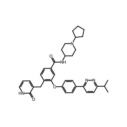 CC(C)c1ccc(-c2ccc(Oc3cc(C(=O)NC4CCN(C5CCCC5)CC4)ccc3Cc3ccc[nH]c3=O)cc2)nn1